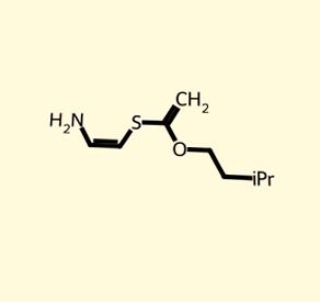 C=C(OCCC(C)C)S/C=C\N